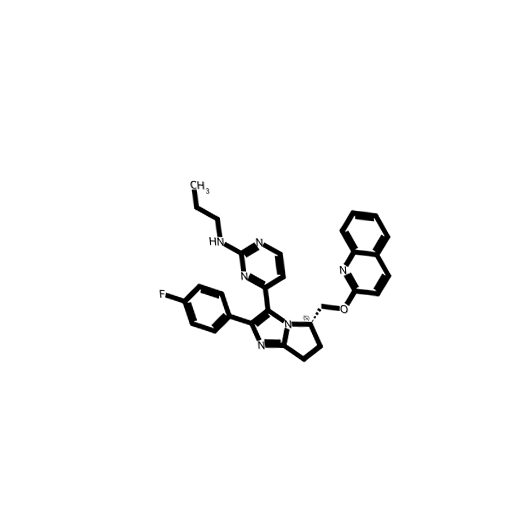 CCCNc1nccc(-c2c(-c3ccc(F)cc3)nc3n2[C@H](COc2ccc4ccccc4n2)CC3)n1